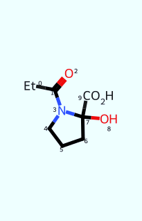 CCC(=O)N1CCCC1(O)C(=O)O